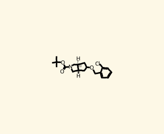 CC(C)(C)OC(=O)N1C[C@H]2CC(OCc3ccccc3Cl)C[C@@H]2C1